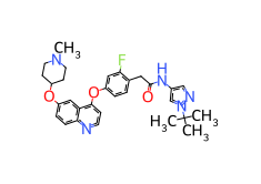 CN1CCC(Oc2ccc3nccc(Oc4ccc(CC(=O)Nc5cnn(C(C)(C)C)c5)c(F)c4)c3c2)CC1